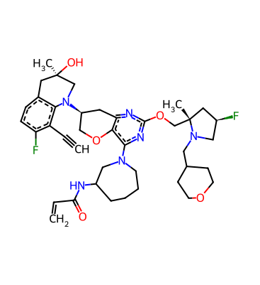 C#Cc1c(F)ccc2c1N([C@@H]1COc3c(nc(OC[C@]4(C)C[C@@H](F)CN4CC4CCOCC4)nc3N3CCCCC(NC(=O)C=C)C3)C1)C[C@](C)(O)C2